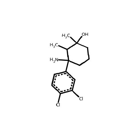 CC1C(C)(O)CCCC1(N)c1ccc(Cl)c(Cl)c1